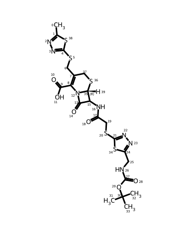 Cc1nnc(SCC2=C(C(=O)O)N3C(=O)C(NC(=O)CSc4nnc(CNC(=O)OC(C)(C)C)s4)[C@H]3SC2)s1